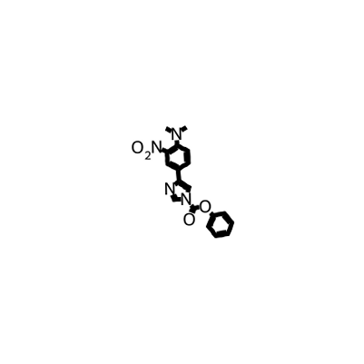 CN(C)c1ccc(-c2cn(C(=O)Oc3ccccc3)cn2)cc1[N+](=O)[O-]